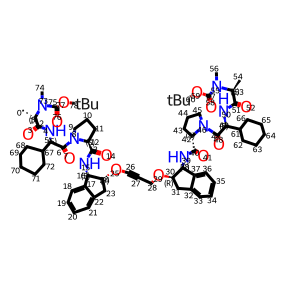 C[C@@H](C(=O)N[C@H](C(=O)N1CCC[C@H]1C(=O)N[C@H]1c2ccccc2C[C@H]1OC#CCO[C@@H]1Cc2ccccc2[C@@H]1NC(=O)[C@@H]1CCCN1C(=O)[C@@H](NC(=O)[C@H](C)N(C)C(=O)OC(C)(C)C)C1CCCCC1)C1CCCCC1)N(C)C(=O)OC(C)(C)C